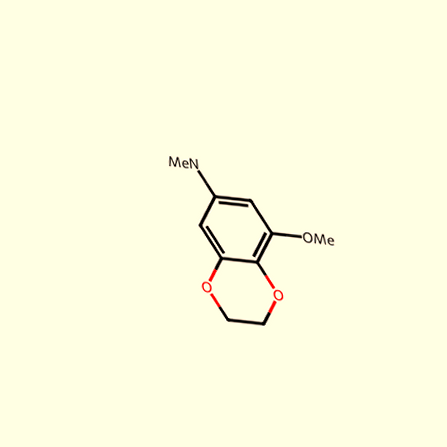 CNc1cc(OC)c2c(c1)OCCO2